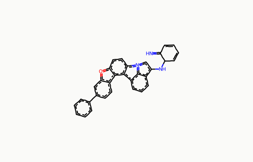 N=C1C=CC=CC1Nc1cn2c3ccc4oc5cc(-c6ccccc6)ccc5c4c3c3cccc1c32